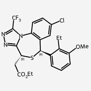 CCOC(=O)C[C@H]1S[C@H](c2cccc(OC)c2CC)c2cc(Cl)ccc2-n2c1nnc2C(F)(F)F